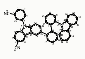 N#Cc1cccc(-n2c3ccc(C#N)cc3c3cc(-c4ccccc4-c4ccccc4-n4c5ccccc5c5ccccc54)ccc32)c1